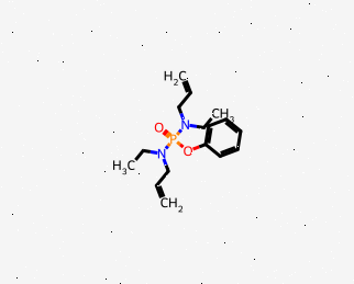 C=CCN(CC)P(=O)(Oc1ccccc1)N(CC)CC=C